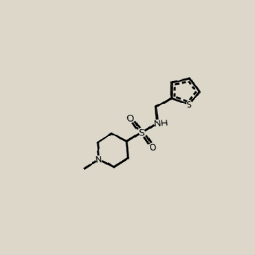 CN1CCC(S(=O)(=O)NCc2cccs2)CC1